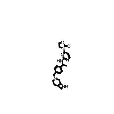 CC(Nc1nccc(N2CCOC2=O)n1)c1ccc(CN2CCC3CNC3C2)cc1